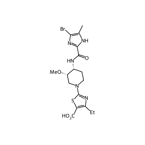 CCc1nc(N2CC[C@@H](NC(=O)c3nc(Br)c(C)[nH]3)[C@@H](OC)C2)sc1C(=O)O